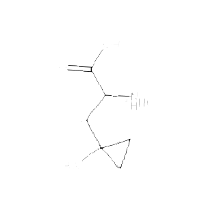 CC1(CC(N)C(=O)O)CC1.Cl